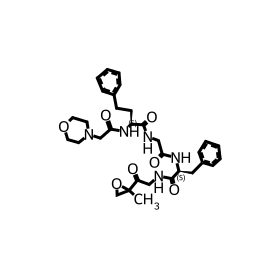 CC1(C(=O)CNC(=O)[C@H](Cc2ccccc2)NC(=O)CNC(=O)[C@H](CCc2ccccc2)NC(=O)CN2CCOCC2)CO1